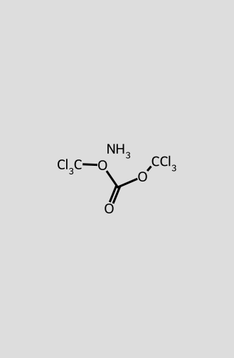 N.O=C(OC(Cl)(Cl)Cl)OC(Cl)(Cl)Cl